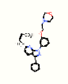 O=C(O)/C=C\C(=O)O.c1ccc(-c2nn(-c3cccc(OCCN4CCOCC4)c3)c3ncccc23)cc1